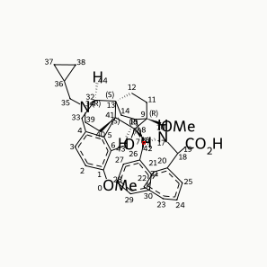 COc1ccc2c3c1O[C@H]1[C@@]4(OC)CC[C@@]5(C[C@@H]4[C@H](NC(C(=O)O)c4ccccc4)c4ccccc4)[C@@H](C2)N(CC2CC2)CC[C@]315